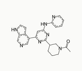 CC(=O)N1CCCC(c2nc(Nc3ccccn3)cc(-c3cncc4[nH]ccc34)n2)C1